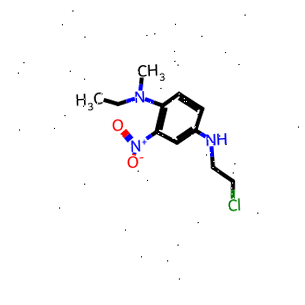 CCN(C)c1ccc(NCCCl)cc1[N+](=O)[O-]